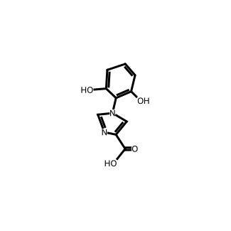 O=C(O)c1cn(-c2c(O)cccc2O)cn1